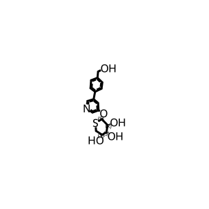 OCc1ccc(-c2cncc(O[C@H]3SC[C@@H](O)[C@H](O)[C@H]3O)c2)cc1